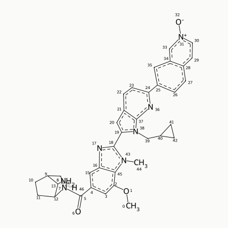 COc1cc(C(=O)N2CC3CCC2[C@@H]3N)cc2nc(-c3cc4ccc(-c5ccc6cc[n+]([O-])cc6c5)nc4n3CC3CC3)n(C)c12